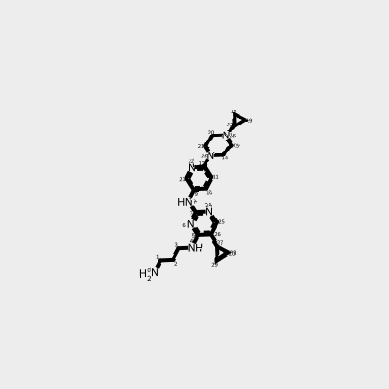 NCCCNc1nc(Nc2ccc(N3CCN(C4CC4)CC3)nc2)ncc1C1CC1